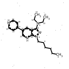 CCCCCCn1nc(N(CC)CC)c2cc(-c3ccncc3)cnc21